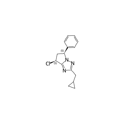 Cl[C@H]1C[C@@H](c2ccccc2)n2nc(CC3CC3)nc21